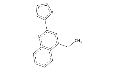 CCc1cc(-c2cccs2)nc2ccccc12